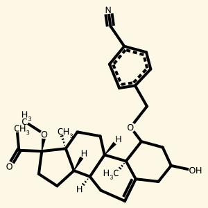 CO[C@]1(C(C)=O)CC[C@H]2[C@@H]3CC=C4CC(O)CC(OCc5ccc(C#N)cc5)[C@]4(C)[C@H]3CC[C@@]21C